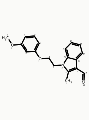 COc1cccc(OCCn2c(C)c(C=O)c3ccccc32)c1